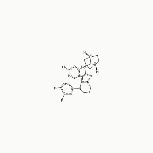 Fc1ccc(N2CCCn3nc(NC4[C@@H]5CC[C@H]4CN(c4cc(Cl)ncn4)C5)nc32)cc1F